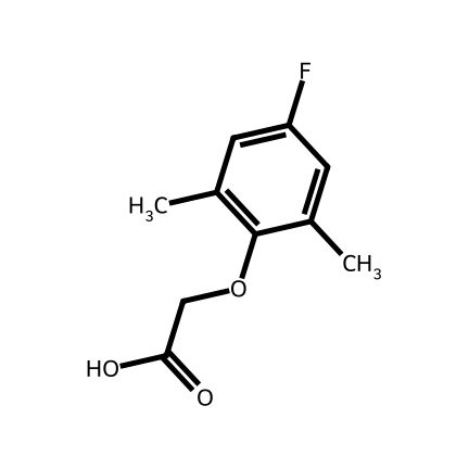 Cc1cc(F)cc(C)c1OCC(=O)O